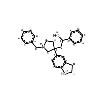 OC(CC1(c2ccc3c(c2)CCN3)CCN(Cc2ccccc2)C1)c1ccccc1